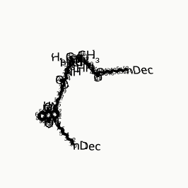 CCCCCCCCCCCCCCCCCCNC1=CC=C(NCCCCCCOC(=O)CCNCCC[Si](C)(C)C[Si](C)(C)CCCNCCC(=O)OCCCCCCCCCCCCCCCCCC)C2C(=O)c3ccccc3C(=O)C12